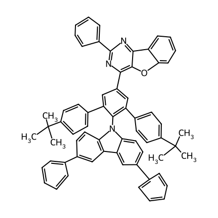 CC(C)(C)c1ccc(-c2cc(-c3nc(-c4ccccc4)nc4c3oc3ccccc34)cc(-c3ccc(C(C)(C)C)cc3)c2-n2c3ccc(-c4ccccc4)cc3c3cc(-c4ccccc4)ccc32)cc1